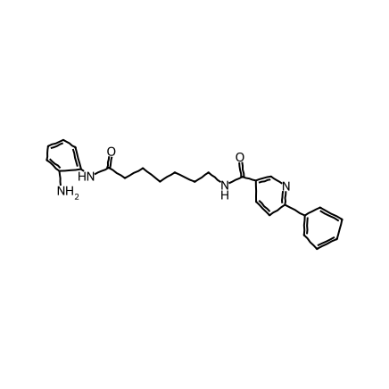 Nc1ccccc1NC(=O)CCCCCCNC(=O)c1ccc(-c2ccccc2)nc1